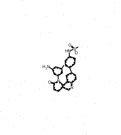 Cc1cc(N)cc(-n2c(=O)ccc3cnc4ccc(-c5ccc(NS(C)(=O)=O)cc5)cc4c32)c1